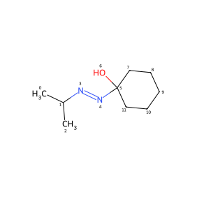 CC(C)N=NC1(O)CCCCC1